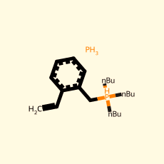 C=Cc1ccccc1C[PH](CCCC)(CCCC)CCCC.P